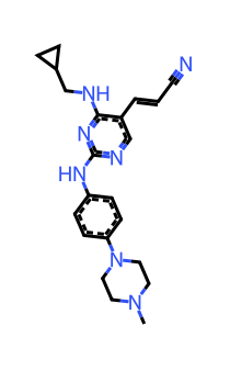 CN1CCN(c2ccc(Nc3ncc(C=CC#N)c(NCC4CC4)n3)cc2)CC1